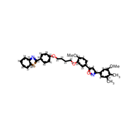 COc1ccc(-c2cc(-c3cc(C)c(C)c(OC)c3)no2)cc1OCCCCOc1ccc(-c2nc3ccccc3s2)cc1